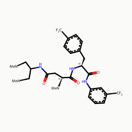 CNCC(CNC)NC(=O)C[C@H](NC)C(=O)N[C@@H](Cc1ccc(C(F)(F)F)cc1)C(=O)Nc1cccc(C(F)(F)F)c1